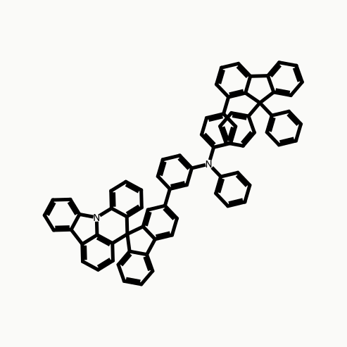 c1ccc(N(c2ccc(-c3cccc4c3C(c3ccccc3)(c3ccccc3)c3ccccc3-4)cc2)c2cccc(-c3ccc4c(c3)C3(c5ccccc5-4)c4ccccc4-n4c5ccccc5c5cccc3c54)c2)cc1